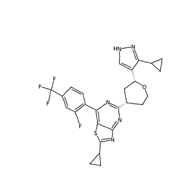 Fc1cc(C(F)(F)F)ccc1-c1nc([C@H]2CCO[C@@H](c3c[nH]nc3C3CC3)C2)nc2nc(C3CC3)sc12